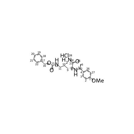 COc1ccc([C@H](C)N[C@H](CCCNC(=O)OCc2ccccc2)C(N)=O)cc1.Cl